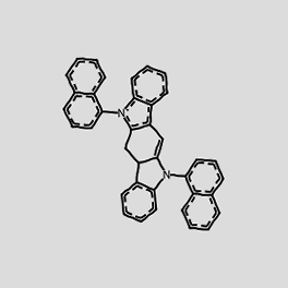 C1=C2C(Cc3c1c1ccccc1n3-c1cccc3ccccc13)c1ccccc1N2c1cccc2ccccc12